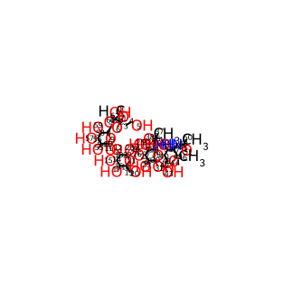 CO[C@@](CCO)(OCC1O[C@@H](OOC2C(O)[C@H](O)C(CO)O[C@@H]2OC(O)O[C@H](C(O)CO)C(O)[C@H](NC(C)=O)O[C@@H]2C(CO)O[C@@H](C)C(NC(C)=O)C2O)C(O)C(O)[C@H]1O)C(=O)O